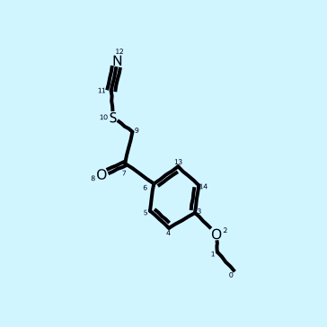 CCOc1ccc(C(=O)CSC#N)cc1